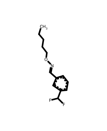 CCCCCO/N=[C]/c1cccc(C(F)F)c1